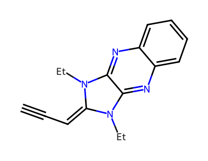 C#CC=C1N(CC)c2nc3ccccc3nc2N1CC